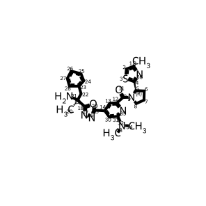 Cc1csc([C@H]2CCCN2C(=O)c2cc(-c3nnc([C@@](C)(N)Cc4ccccc4)o3)cc(N(C)C)n2)n1